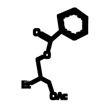 CCC(COC(C)=O)COC(=O)c1ccccc1